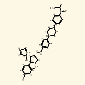 CC(O)N(C)c1ccc(N2CCN(c3ccc(OC[C@@H]4CO[C@@](Cn5cncn5)(c5ccc(F)cc5F)C4)cc3)CC2)cc1